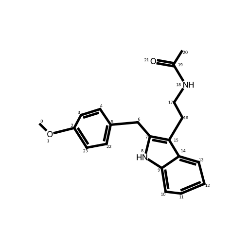 COc1ccc(Cc2[nH]c3ccccc3c2CCNC(C)=O)cc1